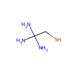 NC(N)(N)CS